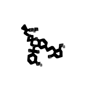 CCOC(=O)C1(CN2CC3(C2)CN(S(=O)(=O)c2cccc(C(F)(F)F)c2)c2cc(/C=C/c4c(Cl)cccc4C(F)(F)F)ccc2O3)CC1